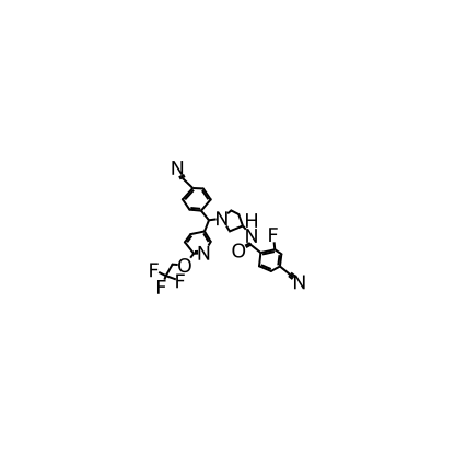 N#Cc1ccc(C(c2ccc(OCC(F)(F)F)nc2)N2CCC(NC(=O)c3ccc(C#N)cc3F)C2)cc1